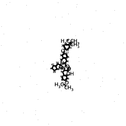 CC(C)Oc1ccc(CC(NC(=O)[C@@H]2Cc3ccc(Oc4ccc(C(C)(C)C)cc4)cc3CN2C(=O)CC2CCCC2)C(=O)O)cc1